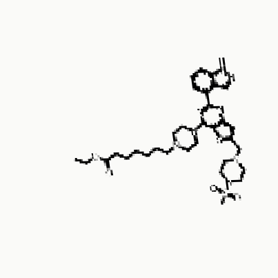 CCOC(=O)CCCCCCN1CCN(c2nc(-c3cccc4[nH]ncc34)nc3cc(CN4CCN(S(C)(=O)=O)CC4)sc23)CC1